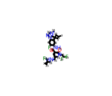 CC1CC(c2ccc(F)c(NC(=O)c3cc(CNCC4(CF)CC4)cn(CC(F)F)c3=O)c2)(c2nncn2C)C1